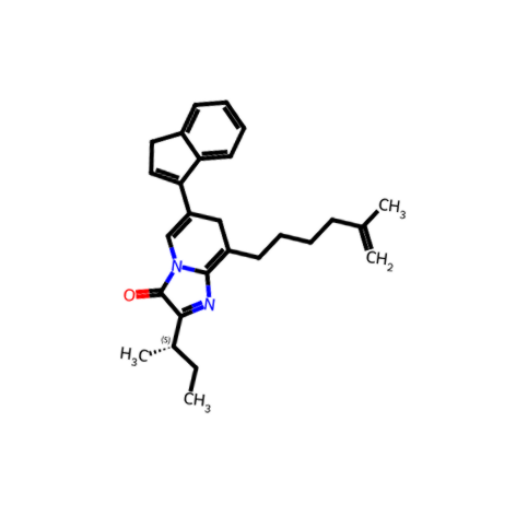 C=C(C)CCCCC1=C2N=C([C@@H](C)CC)C(=O)N2C=C(C2=CCc3ccccc32)C1